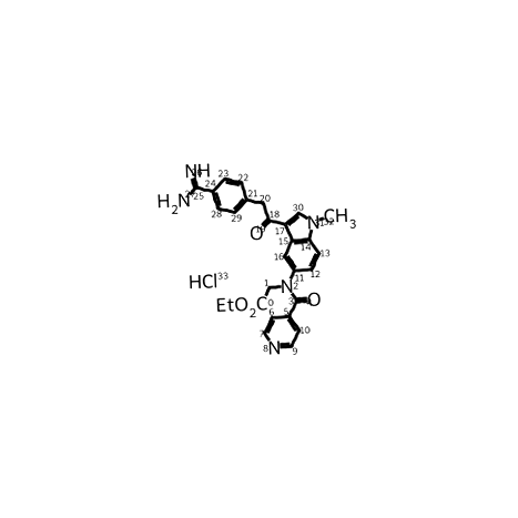 CCOC(=O)CN(C(=O)c1ccncc1)c1ccc2c(c1)c(C(=O)Cc1ccc(C(=N)N)cc1)cn2C.Cl